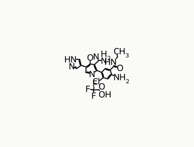 CCNC(=O)c1cc(-c2ncc(-c3cn[nH]c3)c3onc(N)c23)c(Cl)cc1N.O=C(O)C(F)(F)F